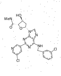 CNC(=O)[C@H]1O[C@@H](n2cnc3c(NCc4cccc(Cl)c4)nc(-c4cncc(Cl)c4)nc32)C[C@@H]1O